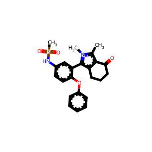 Cc1c2c(c(-c3cc(NS(C)(=O)=O)ccc3Oc3ccccc3)n1C)CCCC2=O